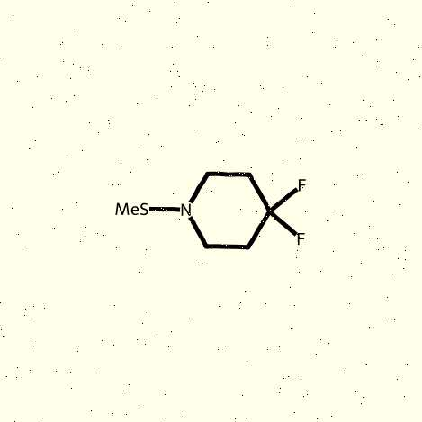 CSN1CCC(F)(F)CC1